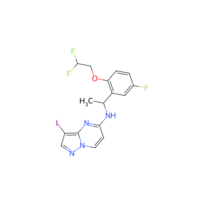 CC(Nc1ccn2ncc(I)c2n1)c1cc(F)ccc1OCC(F)F